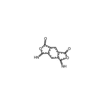 N=c1oc(=O)c2cc3c(=O)oc(=N)c3cc12